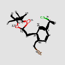 C=C(Cl)c1ccc(CBr)c(CC2OC(C)(C)C(C)(C)O2)c1